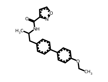 CCOc1ccc(-c2ccc(CC(C)NC(=O)c3ccon3)cc2)cc1